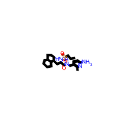 CCCS(=O)(=O)NC(CC1CCCC2CCCCC21)C(=O)NCc1ccc(N)nc1C